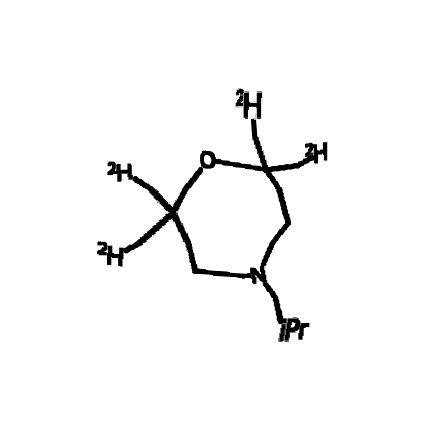 [2H]C1([2H])CN(C(C)C)CC([2H])([2H])O1